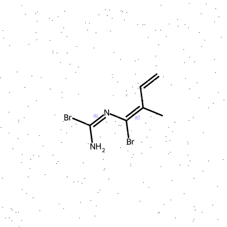 C=C/C(C)=C(Br)\N=C(/N)Br